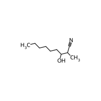 CCCCCCC(O)C(C)C#N